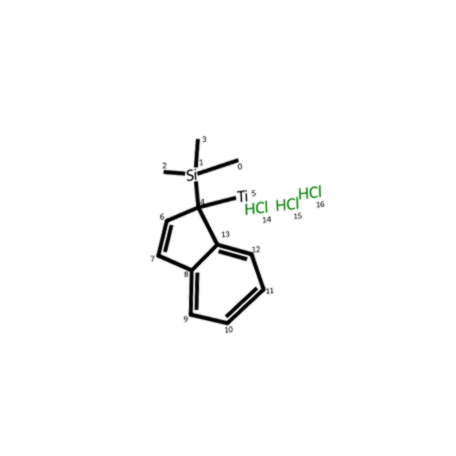 C[Si](C)(C)[C]1([Ti])C=Cc2ccccc21.Cl.Cl.Cl